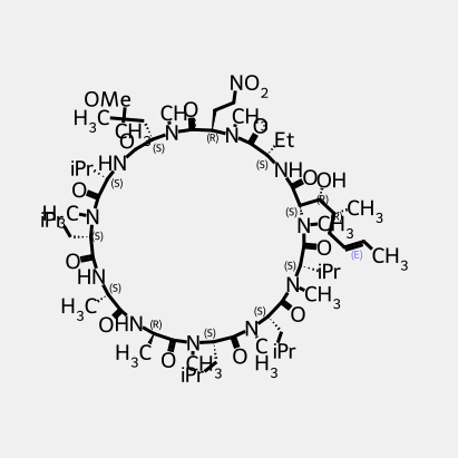 C/C=C/C[C@@H](C)[C@@H](O)[C@H]1C(=O)N[C@@H](CC)C(=O)N(C)[C@H](CC[N+](=O)[O-])C(=O)N(C)[C@@H](CC(C)(C)OC)C(=O)N[C@@H](C(C)C)C(=O)N(C)[C@@H](CC(C)C)C(=O)N[C@@H](C)C(=O)N[C@H](C)C(=O)N(C)[C@@H](CC(C)C)C(=O)N(C)[C@@H](CC(C)C)C(=O)N(C)[C@@H](C(C)C)C(=O)N1C